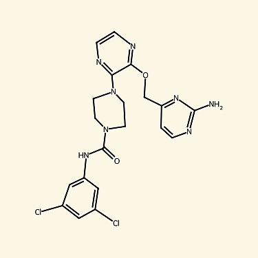 Nc1nccc(COc2nccnc2N2CCN(C(=O)Nc3cc(Cl)cc(Cl)c3)CC2)n1